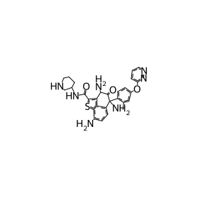 Cc1cc(Oc2cccnn2)ccc1C1(N)C(=O)C(N)c2c(C(=O)NC3CCCNC3)sc3c(N)ccc1c23